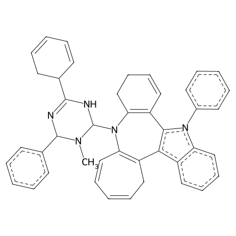 CN1C(c2ccccc2)N=C(C2C=CC=CC2)NC1N1C2=C(CC=CC=C2)c2c(n(-c3ccccc3)c3ccccc23)C2=C1CCC=C2